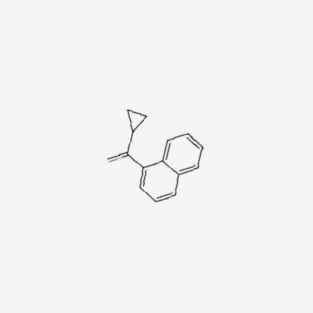 C=C(c1cccc2ccccc12)C1CC1